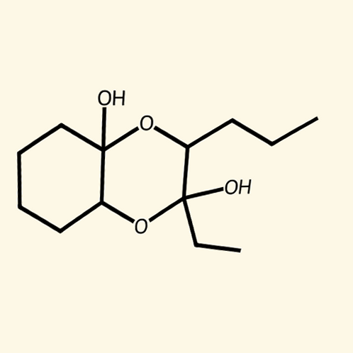 CCCC1OC2(O)CCCCC2OC1(O)CC